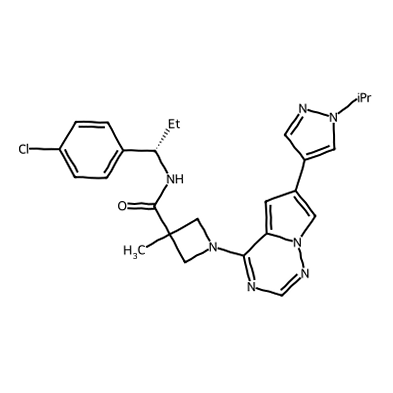 CC[C@H](NC(=O)C1(C)CN(c2ncnn3cc(-c4cnn(C(C)C)c4)cc23)C1)c1ccc(Cl)cc1